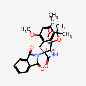 COc1ccc(C[C@@]2(N3C(=O)c4ccccc4C3=O)C(=O)N[C@@H]2[C@@H]2COC(C)(C)O2)c(OC)c1